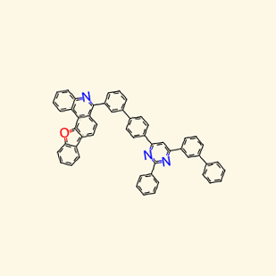 c1ccc(-c2cccc(-c3cc(-c4ccc(-c5cccc(-c6nc7ccccc7c7c6ccc6c8ccccc8oc67)c5)cc4)nc(-c4ccccc4)n3)c2)cc1